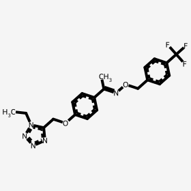 CCn1nnnc1COc1ccc(/C(C)=N/OCc2ccc(C(F)(F)F)cc2)cc1